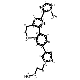 CC(C)n1ncnc1-c1nc2c(s1)CCOc1cc(-c3cnn(CCOO)c3)ccc1-2